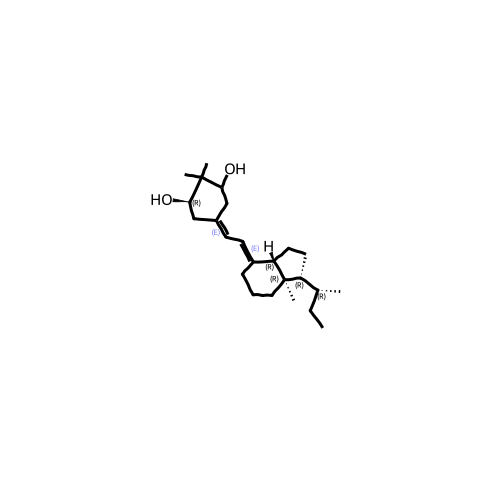 CC[C@@H](C)[C@H]1CC[C@H]2/C(=C/C=C3\CC(O)C(C)(C)[C@H](O)C3)CCC[C@]12C